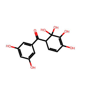 O=C(c1cc(O)cc(O)c1)C1C=CC(O)=C(O)C1(O)O